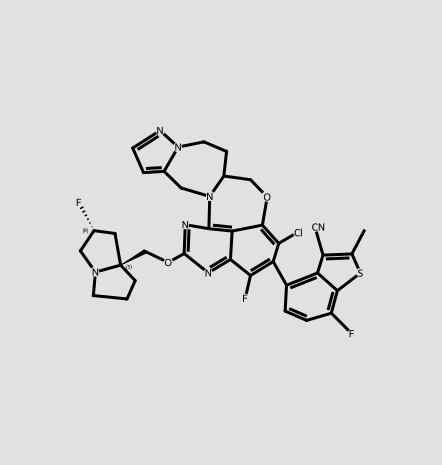 Cc1sc2c(F)ccc(-c3c(Cl)c4c5c(nc(OC[C@@]67CCCN6C[C@H](F)C7)nc5c3F)N3Cc5ccnn5CCC3CO4)c2c1C#N